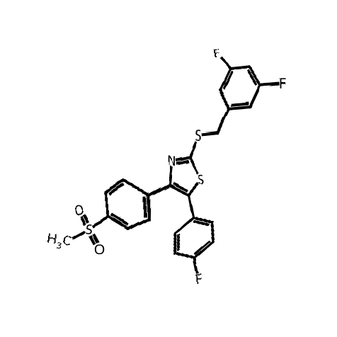 CS(=O)(=O)c1ccc(-c2nc(SCc3cc(F)cc(F)c3)sc2-c2ccc(F)cc2)cc1